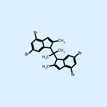 CC1=Cc2c(Br)cc(Br)cc2C1C(C)(C)C1C(C)=Cc2c(Br)cc(Br)cc21